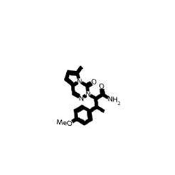 COc1ccc(C(C)C(C(N)=O)n2ncc3ccc(C)n3c2=O)cc1